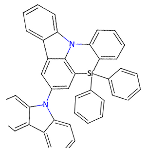 c1ccc([Si]2(c3ccccc3)c3ccccc3-n3c4ccccc4c4cc(-n5c6ccccc6c6ccccc65)cc2c43)cc1